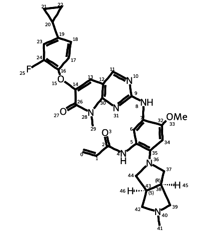 C=CC(=O)Nc1cc(Nc2ncc3cc(Oc4ccc(C5CC5)cc4F)c(=O)n(C)c3n2)c(OC)cc1N1C[C@H]2CN(C)C[C@H]2C1